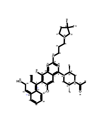 C=C/C(c1c(Cl)cc2c(N3C[C@@H](C)N(C(C)=O)C[C@@H]3C)nc(OCCCN3CCC(F)(F)C3)nc2c1F)=c1/cccc/c1=C/CO